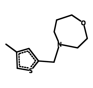 Cc1csc(CN2CCCOCC2)c1